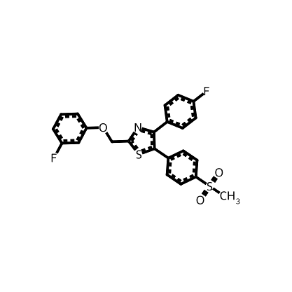 CS(=O)(=O)c1ccc(-c2sc(COc3cccc(F)c3)nc2-c2ccc(F)cc2)cc1